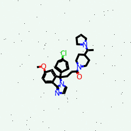 COc1ccc2c(c1)C(CCC(=O)N1CCC(C(C)N3CCCC3)CC1)(c1ccc(Cl)cc1)n1ccnc1-2